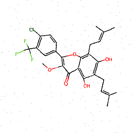 COc1c(-c2ccc(Cl)c(C(F)(F)F)c2)oc2c(CC=C(C)C)c(O)c(CC=C(C)C)c(O)c2c1=O